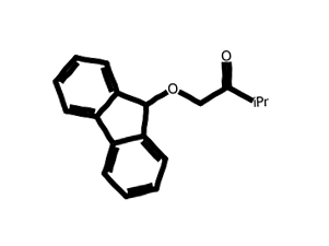 CC(C)C(=O)COC1c2ccccc2-c2ccccc21